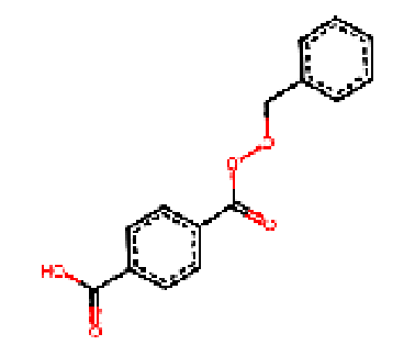 O=C(O)c1ccc(C(=O)OOCc2ccccc2)cc1